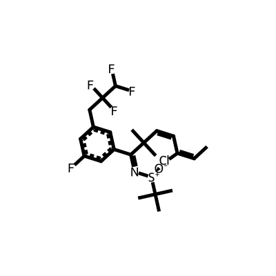 C/C=C(Cl)\C=C/C(C)(C)/C(=N\[S@@+]([O-])C(C)(C)C)c1cc(F)cc(CC(F)(F)C(F)F)c1